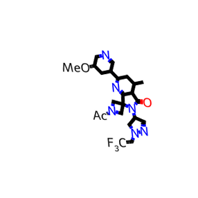 COC1CN=CC(C2CC(C)C3C(=O)N(C4C=NN(CC(F)(F)F)C4)C4(CN(C(C)=O)C4)C3=N2)C1